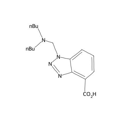 CCCCN(CCCC)Cn1nnc2c(C(=O)O)cccc21